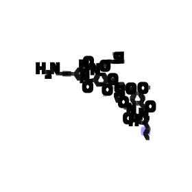 C/C=C/C1=CN2C(=O)c3cc(OC)c(OCCCOc4cc5c(cc4OC)C(=O)N4C=C(C#CCN)C[C@H]4C(=O)N5COCC[Si](C)(C)C)cc3N(COCC[Si](C)(C)C)C(=O)[C@@H]2C1